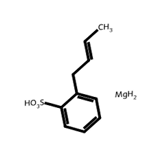 CC=CCc1ccccc1S(=O)(=O)O.[MgH2]